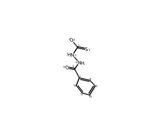 [O]C(=S)NNC(=O)c1ccccc1